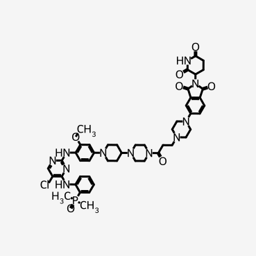 COc1cc(N2CCC(N3CCN(C(=O)CCN4CCN(c5ccc6c(c5)C(=O)N(C5CCC(=O)NC5=O)C6=O)CC4)CC3)CC2)ccc1Nc1ncc(Cl)c(Nc2ccccc2P(C)(C)=O)n1